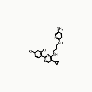 Nc1ccc(NCCCNc2nc(C3=C(Cl)CC(Cl)C=C3)ncc2C2CC2)nc1